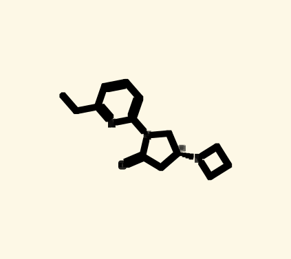 CCc1cccc(N2C[C@H](N3CCC3)CC2=O)n1